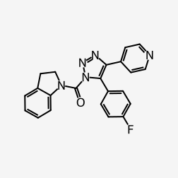 O=C(N1CCc2ccccc21)n1nnc(-c2ccncc2)c1-c1ccc(F)cc1